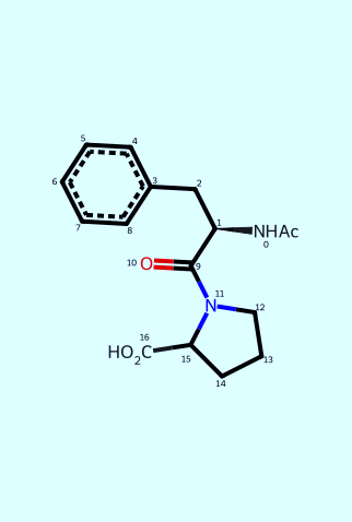 CC(=O)N[C@H](Cc1ccccc1)C(=O)N1CCCC1C(=O)O